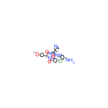 CCOc1ccc([C@@H](CNC(=O)c2ccc(Cl)cc2)C(=O)NC[C@H](C(=O)NCc2ccc(CN)cc2)c2cccnc2)cc1